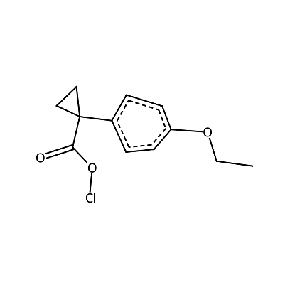 CCOc1ccc(C2(C(=O)OCl)CC2)cc1